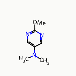 COc1ncc(N(C)C)cn1